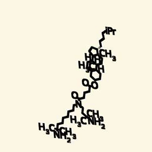 CC(C)CCCC[C@H]1CC[C@H]2[C@@H]3CC=C4C[C@@H](OC(=O)CCCC(=O)N(CCCCCCCC(C)(C)N)CCC(C)(C)N)CC[C@]4(C)[C@H]3CC[C@]12C